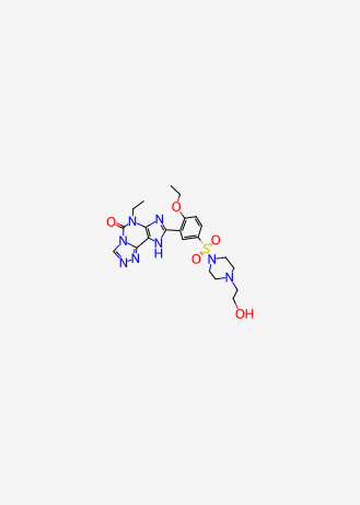 CCOc1ccc(S(=O)(=O)N2CCN(CCO)CC2)cc1-c1nc2c([nH]1)c1nncn1c(=O)n2CC